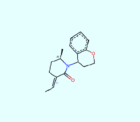 C/C=C1\CC[C@@H](C)N(C2CCOc3ccccc32)C1=O